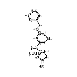 CCc1cnc(C(=CC(=O)O)c2cncc(OCc3ccccc3)c2)s1